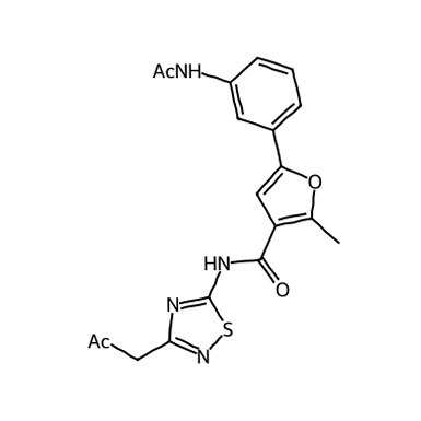 CC(=O)Cc1nsc(NC(=O)c2cc(-c3cccc(NC(C)=O)c3)oc2C)n1